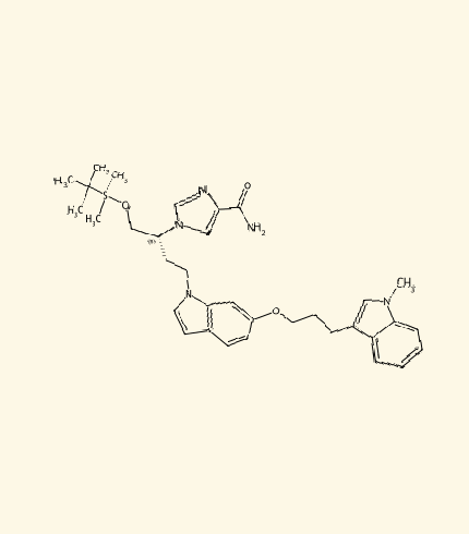 Cn1cc(CCCOc2ccc3ccn(CC[C@H](CO[Si](C)(C)C(C)(C)C)n4cnc(C(N)=O)c4)c3c2)c2ccccc21